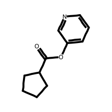 O=C(Oc1cccnc1)C1CCCC1